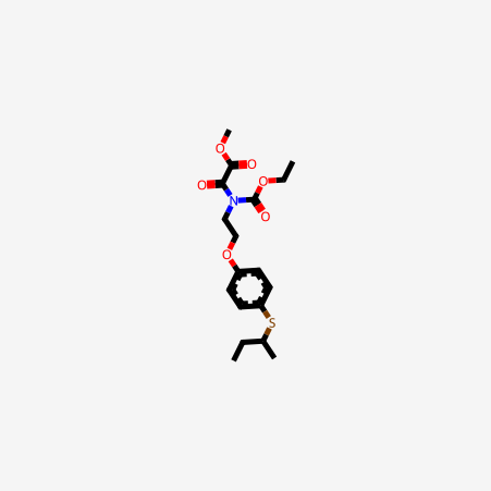 CCOC(=O)N(CCOc1ccc(SC(C)CC)cc1)C(=O)C(=O)OC